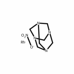 C1N2CN3CN1CN(C2)C3.O=[N+]([O-])[O-].[Rh]